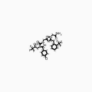 NC(=O)Cn1nc(Cn2nc(-c3ccc(Cl)cc3)n(CC(O)C(F)(F)F)c2=O)nc1Cc1ccccc1C(F)(F)F